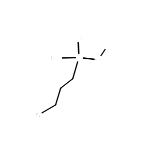 CCO[Si](O)(O)CCCN